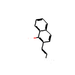 O=C(O)/C=C/c1ccc2ccccc2c1O